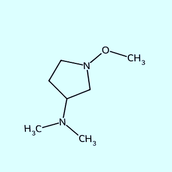 CON1CCC(N(C)C)C1